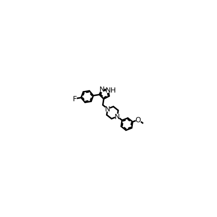 COc1cccc(N2CCN(Cc3c[nH]nc3-c3ccc(F)cc3)CC2)c1